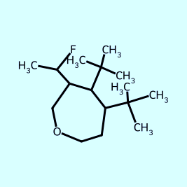 CC(F)C1COCCC(C(C)(C)C)C1C(C)(C)C